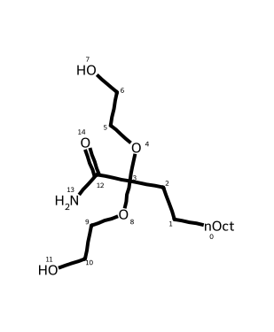 CCCCCCCCCCC(OCCO)(OCCO)C(N)=O